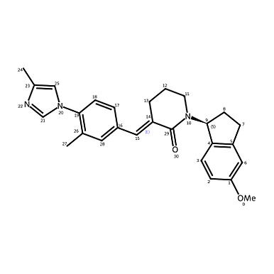 COc1ccc2c(c1)CC[C@@H]2N1CCC/C(=C\c2ccc(-n3cnc(C)c3)c(C)c2)C1=O